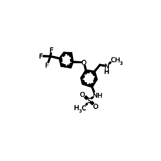 CNCc1cc(NS(C)(=O)=O)ccc1Oc1ccc(C(F)(F)F)cc1